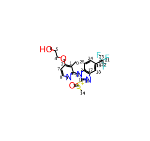 Cc1c(OCCO)ccnc1-n1c([S+](C)[O-])nc2cc(C(F)(F)F)ccc21